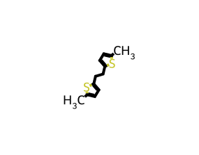 Cc1ccc(CCc2ccc(C)s2)s1